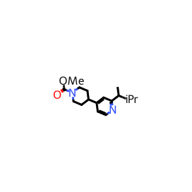 COC(=O)N1CCC(c2ccnc(C(C)C(C)C)c2)CC1